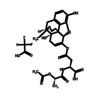 CC(=O)O[C@@H](C)C(=O)N[C@@H](CC(=O)OC1=CC[C@@]2(O)[C@H]3Cc4ccc(O)c5c4[C@@]2(CCN3C)[C@H]1O5)C(=O)O.O=C(O)C(F)(F)F